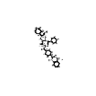 Nc1ccccc1NC(=O)c1ccc(CNC(=O)C(Cc2c[nH]c3ccccc23)NC(=O)c2ccccc2)cc1